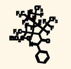 CCOC(=O)ON=C(C(=O)C(C(F)(C(F)(F)C(F)(F)F)C(F)(F)C(F)(F)C(F)(F)C(F)(F)F)C(F)(C(F)(F)C(F)(F)F)C(F)(F)C(F)(F)C(F)(F)C(F)(F)F)c1ccccc1